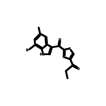 CCC(=O)c1csc(C(=O)c2c[nH]c3c(Br)cc(C)cc23)n1